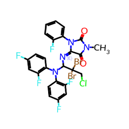 CN1C(=O)/C(=N\C(N(c2ccc(F)cc2F)c2ccc(F)cc2F)C(Br)(Br)CCl)N(c2ccccc2F)C1=O